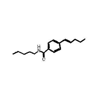 CCC/C=C/c1ccc(C(=O)NCCCCC)cc1